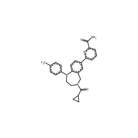 NC(=O)c1cccc(-c2ccc3c(c2)CN(C(=O)C2CC2)CCN3c2ccc(C(F)(F)F)cc2)n1